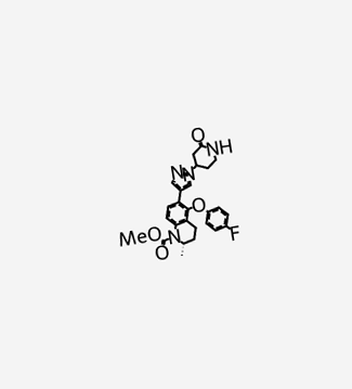 COC(=O)N1c2ccc(-c3cnn(C4CCNC(=O)C4)c3)c(Oc3ccc(F)cc3)c2CC[C@@H]1C